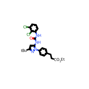 CCOC(=O)CCc1ccc(-n2nc(C(C)(C)C)cc2NC(=O)Nc2cccc(Cl)c2Cl)cc1